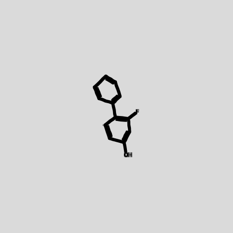 Oc1c[c]c(-c2ccccc2)c(F)c1